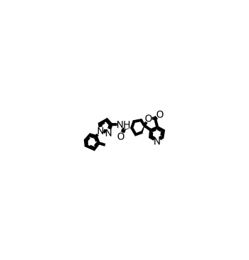 Cc1ccccc1-n1ccc(NC(=O)[C@H]2CC[C@@]3(CC2)OC(=O)c2ccncc23)n1